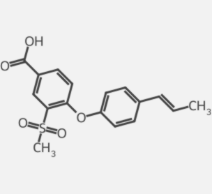 CC=Cc1ccc(Oc2ccc(C(=O)O)cc2S(C)(=O)=O)cc1